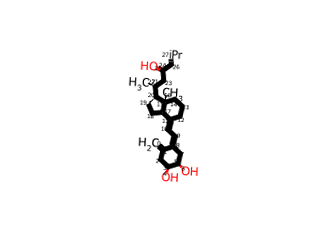 C=C1C[C@H](O)[C@H](O)C/C1=C/C=C1CCC[C@@]2(C)C1CC[C@@H]2[C@H](C)CC(O)CC(C)C